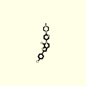 CN1CCN(c2ccc(-n3ccc4cc(-c5ccc(Cl)cc5)sc4c3=O)cn2)CC1